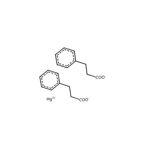 O=C([O-])CCc1ccccc1.O=C([O-])CCc1ccccc1.[Hg+2]